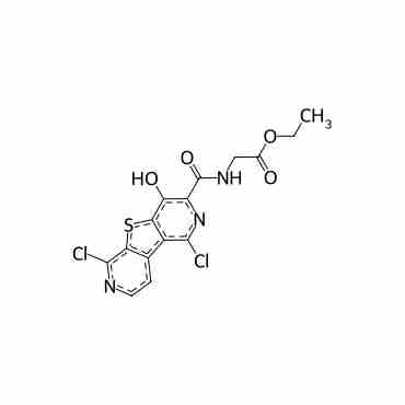 CCOC(=O)CNC(=O)c1nc(Cl)c2c(sc3c(Cl)nccc32)c1O